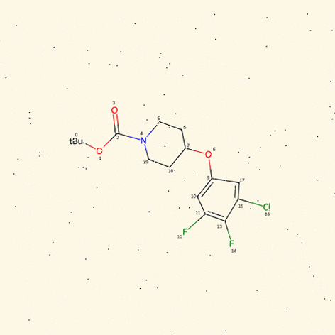 CC(C)(C)OC(=O)N1CCC(Oc2cc(F)c(F)c(Cl)c2)CC1